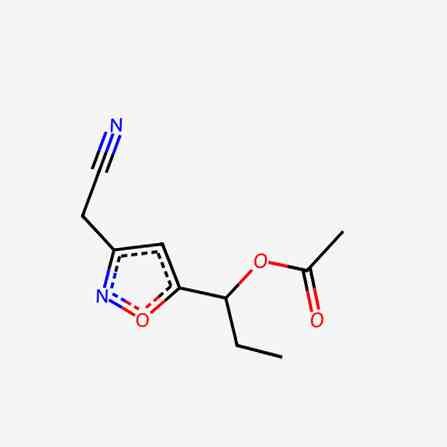 CCC(OC(C)=O)c1cc(CC#N)no1